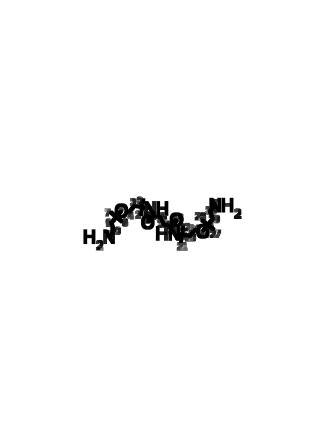 CC(C)(CCOC(C)(C)CCN)NC(=O)CCC(=O)NC(C)(C)CCOC(C)(C)CCN